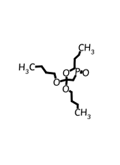 CCCCOC(CP=O)(OCCCC)OCCCC